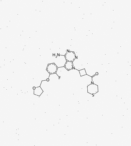 Nc1ncnc2c1c(-c1cccc(OCC3CCCO3)c1F)cn2C1CC(C(=O)N2CCSCC2)C1